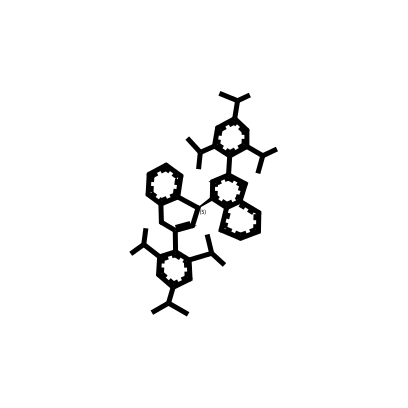 CC(C)c1cc(C(C)C)c(C2=[C][C@H](c3[c]c(-c4c(C(C)C)cc(C(C)C)cc4C(C)C)cc4ccccc34)c3ccccc3C2)c(C(C)C)c1